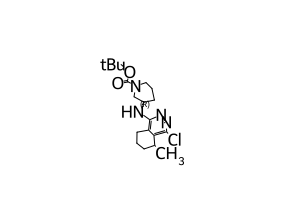 CC1CCCc2c(N[C@@H]3CCCN(C(=O)OC(C)(C)C)C3)nnc(Cl)c21